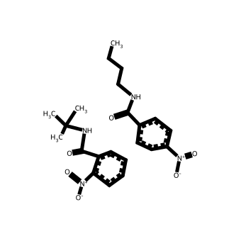 CC(C)(C)NC(=O)c1ccccc1[N+](=O)[O-].CCCCNC(=O)c1ccc([N+](=O)[O-])cc1